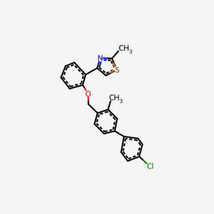 Cc1nc(-c2ccccc2OCc2ccc(-c3ccc(Cl)cc3)cc2C)cs1